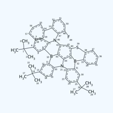 CC(C)(C)c1ccc2c(c1)B1c3cc(C(C)(C)C)ccc3N3c4ccc(C(C)(C)C)cc4B4c5ccccc5Sc5cc(c1c3c54)N2c1c(F)cccc1-c1ccccc1